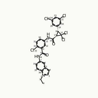 CCn1ccc2cc(NC(=O)c3cc(NC(=O)[C@H]4[C@H](c5cc(Cl)cc(Cl)c5)C4(Cl)Cl)ccc3Cl)ccc21